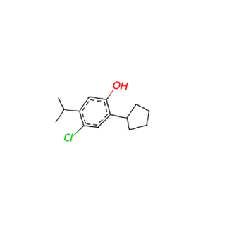 CC(C)c1cc(O)c(C2CCCC2)cc1Cl